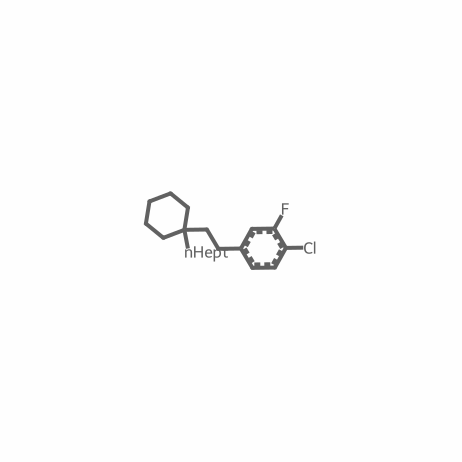 CCCCCCCC1(CCc2ccc(Cl)c(F)c2)CCCCC1